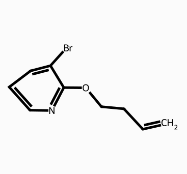 C=CCCOc1ncccc1Br